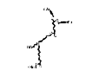 CCCCC#CCOC(CCCCC(=O)OCCCCCCN(CCO)CCCCCCCC(=O)OCCCCCCCCC)OCC#CCCCC